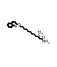 C/C(=C\C(N)=O)CCCCCCCCCOc1ccc2ccccc2n1